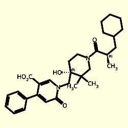 C[C@H](CC1CCCCC1)C(=O)N1CC[C@](O)(Cn2cc(C(=O)O)c(-c3ccccc3)cc2=O)C(C)(C)C1